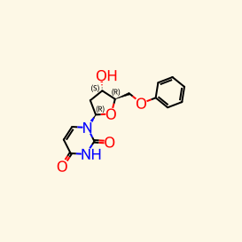 O=c1ccn([C@H]2C[C@H](O)[C@@H](COc3ccccc3)O2)c(=O)[nH]1